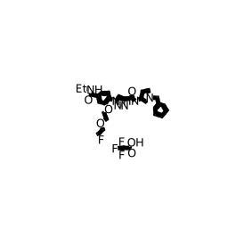 CCNC(=O)c1ccc(-n2cc(C(=O)NC3CCN(Cc4ccccc4)C3)nn2)c(OCCOCCF)c1.O=C(O)C(F)(F)F